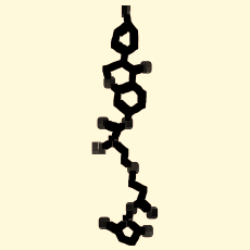 CCN(CCOCCC(=O)ON1C(=O)CCC1=O)C(=O)Oc1ccc2c(c1)OCC(c1ccc(F)cc1)C2=O